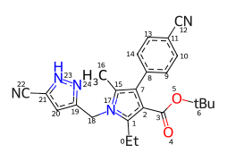 CCc1c(C(=O)OC(C)(C)C)c(-c2ccc(C#N)cc2)c(C)n1Cc1cc(C#N)[nH]n1